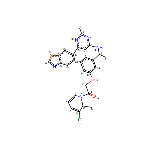 Cc1nc(NC(C)c2cccc(OCC(=O)N3C=CC=C(Cl)C3C)c2)cc(-c2ccc3ncsc3c2)n1